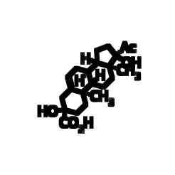 CC(=O)[C@@]1(O)CC[C@H]2[C@@H]3CC=C4CC(O)(C(=O)O)CC[C@]4(C)[C@H]3CC[C@@]21C